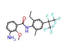 CCc1cc(C(F)(C(F)(F)F)C(F)(F)F)cc(C)c1NC(=O)c1cccc(N)c1OC